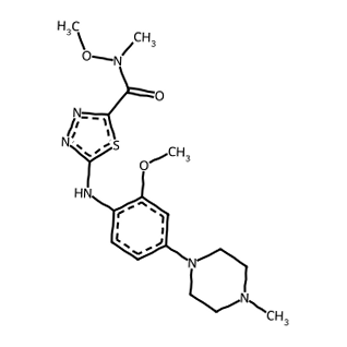 COc1cc(N2CCN(C)CC2)ccc1Nc1nnc(C(=O)N(C)OC)s1